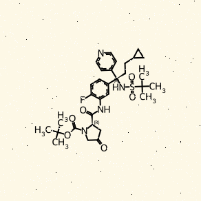 CC(C)(C)OC(=O)N1CC(=O)C[C@@H]1C(=O)Nc1cc([C@@](CCC2CC2)(NS(=O)(=O)C(C)(C)C)c2ccncc2)ccc1F